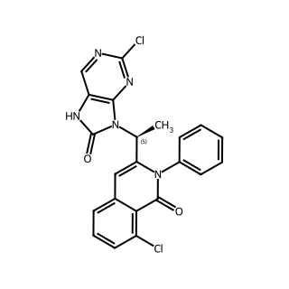 C[C@@H](c1cc2cccc(Cl)c2c(=O)n1-c1ccccc1)n1c(=O)[nH]c2cnc(Cl)nc21